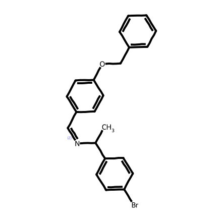 CC(/N=C\c1ccc(OCc2ccccc2)cc1)c1ccc(Br)cc1